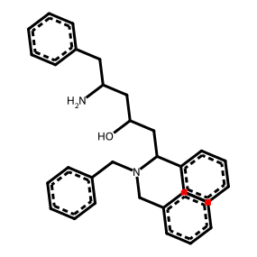 NC(Cc1ccccc1)CC(O)CC(c1ccccc1)N(Cc1ccccc1)Cc1ccccc1